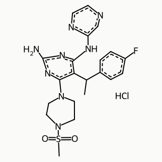 CC(c1ccc(F)cc1)c1c(Nc2cnccn2)nc(N)nc1N1CCN(S(C)(=O)=O)CC1.Cl